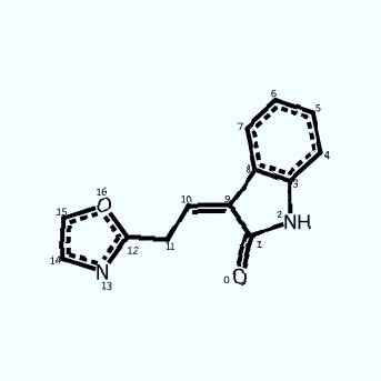 O=C1Nc2ccccc2C1=CCc1ncco1